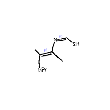 CCC/C(C)=C(C)/N=C\S